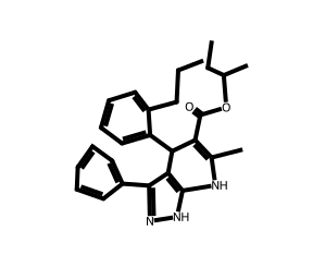 CCCc1ccccc1C1C(C(=O)OC(C)CC)=C(C)Nc2[nH]nc(-c3ccccc3)c21